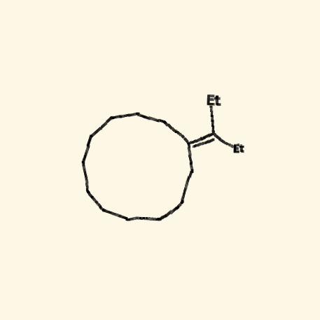 CCC(CC)=C1CCCCCCCCCCC1